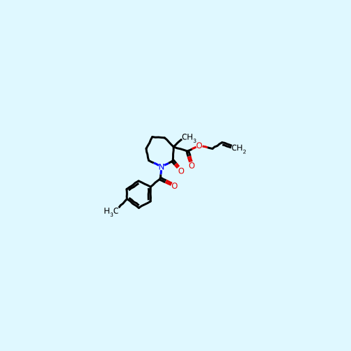 C=CCOC(=O)C1(C)CCCCN(C(=O)c2ccc(C)cc2)C1=O